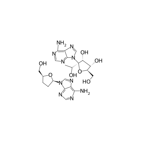 CC(O)[C@@]1(n2cnc3c(N)ncnc32)O[C@H](CO)[C@@H](O)[C@H]1O.Nc1ncnc2c1ncn2[C@H]1CC[C@@H](CO)O1